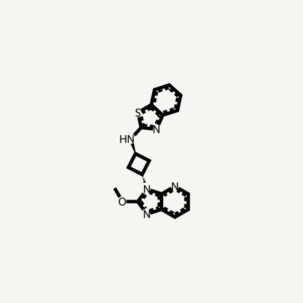 COc1nc2cccnc2n1[C@H]1C[C@H](Nc2nc3ccccc3s2)C1